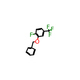 Fc1ccc(C(F)(F)F)cc1OCc1ccccc1